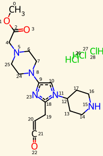 COC(=O)CN1CCN(c2cn(C3CCNCC3)c(CC=C=O)n2)CC1.Cl.Cl.Cl